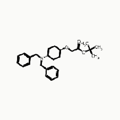 CC(C)(C)OC(=O)CO[C@H]1CC[C@H](N(Cc2ccccc2)Cc2ccccc2)CC1